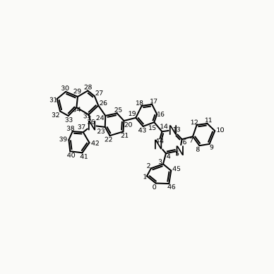 c1ccc(-c2nc(-c3ccccc3)nc(-c3cccc(-c4ccc5c(c4)c4ccc6ccccc6c4n5-c4ccccc4)c3)n2)cc1